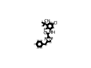 CC(C)(C#N)c1cc(Cl)cc(NC(=O)C2=NCC(Cc3ccccc3)=N2)c1F